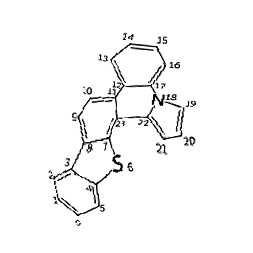 c1ccc2c(c1)sc1c2ccc2c3ccccc3n3cccc3c21